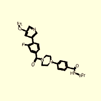 CCCNC(=O)c1ccc(N2CCN(C(=O)c3ccc(-c4cncc(OCC)c4)c(F)c3)CC2)cc1